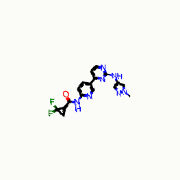 Cn1cc(Nc2nccc(-c3ccc(NC(=O)C4CC4(F)F)nc3)n2)cn1